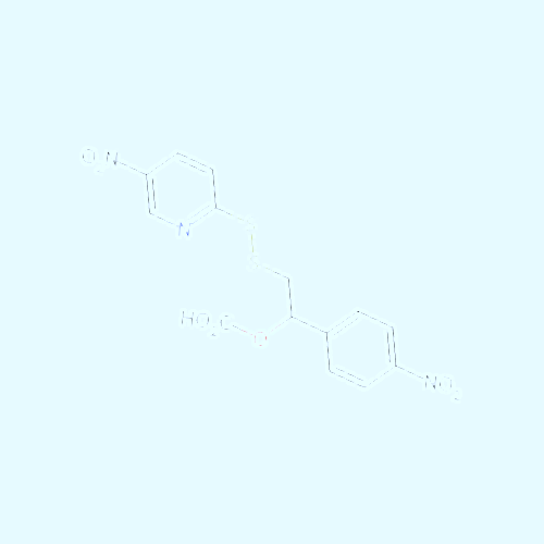 O=C(O)OC(CSSc1ccc([N+](=O)[O-])cn1)c1ccc([N+](=O)[O-])cc1